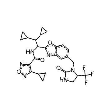 O=C(NC(c1nc2cc(CN3C(=O)NCC3C(F)(F)F)ccc2o1)C(C1CC1)C1CC1)c1nonc1C1CC1